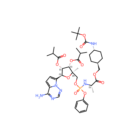 CC(C)C(=O)O[C@H]1[C@H](c2ccc3c(N)ncnn23)O[C@](C)(COP(=O)(N[C@@H](C)C(=O)OC[C@H]2CC[C@H](NC(=O)OC(C)(C)C)CC2)Oc2ccccc2)[C@H]1OC(=O)C(C)C